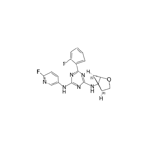 Fc1ccc(Nc2nc(NC34C5OC[C@@H]3[C@H]54)nc(-c3ccccc3F)n2)cn1